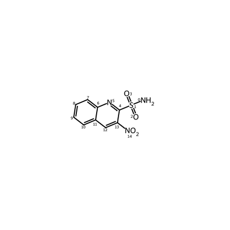 NS(=O)(=O)c1nc2ccccc2cc1[N+](=O)[O-]